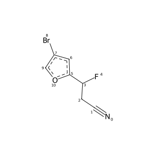 N#CCC(F)c1cc(Br)co1